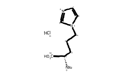 CCCC[C@@H](CCCn1ccnc1)C(=O)O.Cl